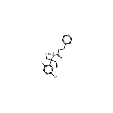 O=CCC(CF)(NC(=O)OCc1ccccc1)c1cc(Br)ccc1F